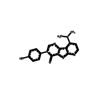 CN(C)c1ccnc2sc3c(=O)n(-c4ccc(O)cc4)cnc3c12